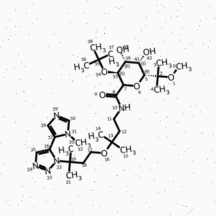 COC(C)(C)[C@@H]1OC(C(=O)NCCC(C)(C)OCCC(C)(C)n2nncc2-c2cncn2C)[C@@H](OC(C)(C)C)[C@H](O)[C@@H]1O